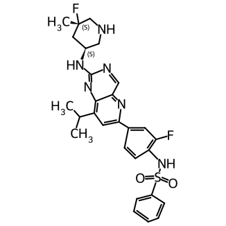 CC(C)c1cc(-c2ccc(NS(=O)(=O)c3ccccc3)c(F)c2)nc2cnc(N[C@@H]3CNC[C@@](C)(F)C3)nc12